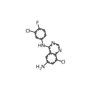 Nc1cc(Cl)c2ncnc(Nc3ccc(F)c(Cl)c3)c2c1